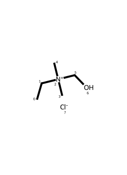 CC[N+](C)(C)CO.[Cl-]